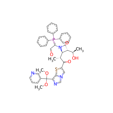 COC(OC)(c1cccnc1)c1ncn2cc(C(=O)[C@H](C)[C@@H]3[C@@H]([C@@H](C)O)C(=O)N3C(C=O)=P(c3ccccc3)(c3ccccc3)c3ccccc3)sc12